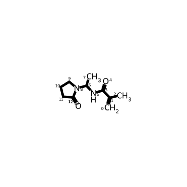 C=C(C)C(=O)NC(C)N1CCCC1=O